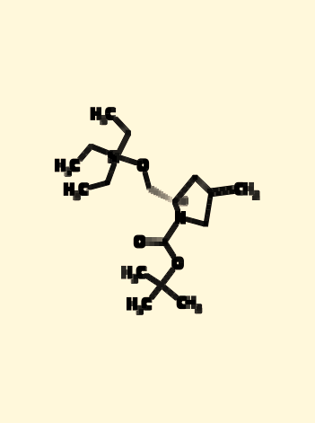 C=C1C[C@@H](CO[Si](CC)(CC)CC)N(C(=O)OC(C)(C)C)C1